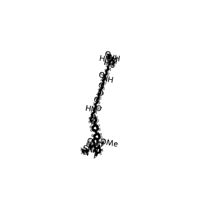 COCOc1ccc(F)cc1C(C(=O)Nc1nccs1)N1Cc2ccc(-c3ccc(N4CCN(CCNC(=O)CCOCCOCCOCCNC(=O)CCCC[C@@H]5SC[C@@H]6NC(=O)N[C@@H]65)CC4)cc3)cc2C1=O